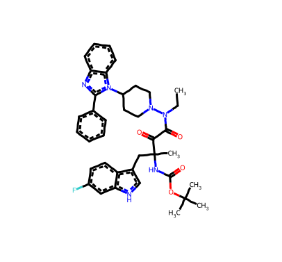 CCN(C(=O)C(=O)C(C)(Cc1c[nH]c2cc(F)ccc12)NC(=O)OC(C)(C)C)N1CCC(n2c(-c3ccccc3)nc3ccccc32)CC1